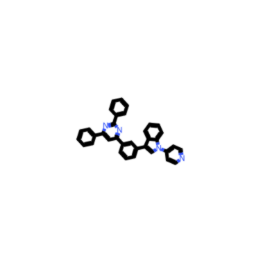 c1ccc(-c2cc(-c3cccc(-c4cn(-c5ccncc5)c5ccccc45)c3)nc(-c3ccccc3)n2)cc1